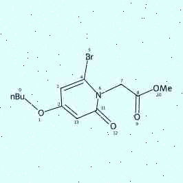 CCCCOc1cc(Br)n(CC(=O)OC)c(=O)c1